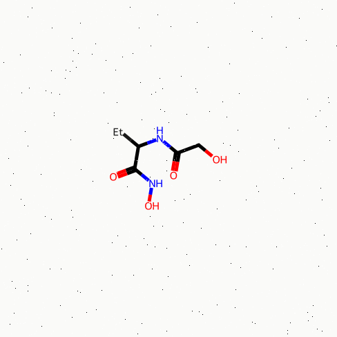 CCC(NC(=O)CO)C(=O)NO